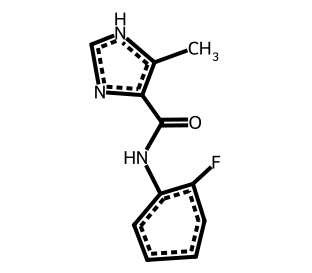 Cc1[nH]cnc1C(=O)Nc1ccccc1F